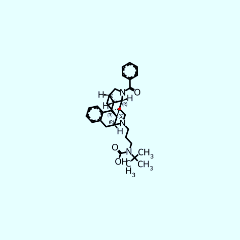 CC(C)(C)N(CCCN1CC[C@@]23c4ccccc4C[C@@H]1[C@]21CC[C@@H]2[C@H]3[C@@H](CN2C(=O)c2ccccc2)C1)C(=O)O